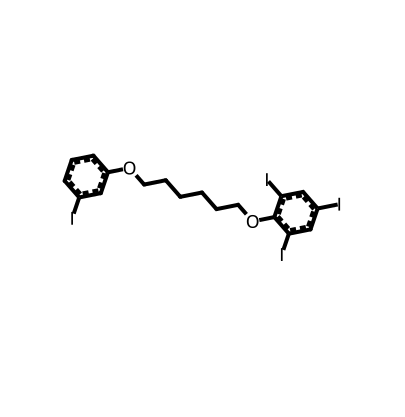 Ic1cccc(OCCCCCCOc2c(I)cc(I)cc2I)c1